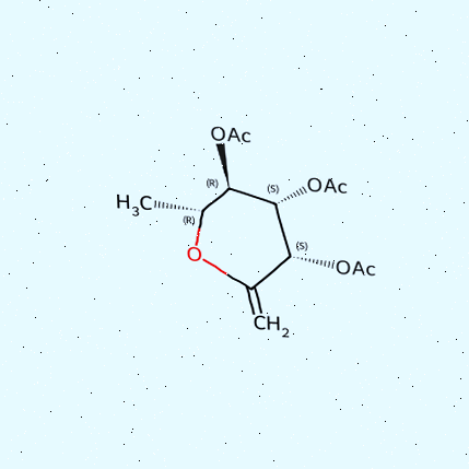 C=C1O[C@H](C)[C@@H](OC(C)=O)[C@H](OC(C)=O)[C@@H]1OC(C)=O